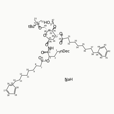 CCCCCCCCCCCCC(OC(=O)CCCCCCCCc1ccccc1)C(=O)NO[C@@H]1C[C@@H](OC(=O)CCCCCCCCc2ccccc2)[C@H](OS(=O)(=O)O)[C@@H](CO[Si](C)(C)C(C)(C)C)O1.[NaH]